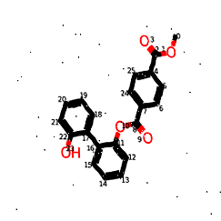 COC(=O)c1ccc(C(=O)Oc2ccccc2-c2ccccc2O)cc1